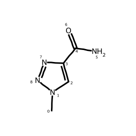 Cn1cc(C(N)=O)nn1